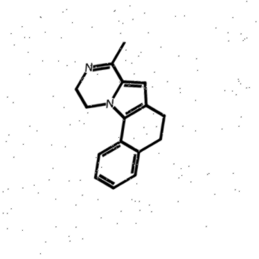 CC1=NCCn2c1cc1c2-c2ccccc2CC1